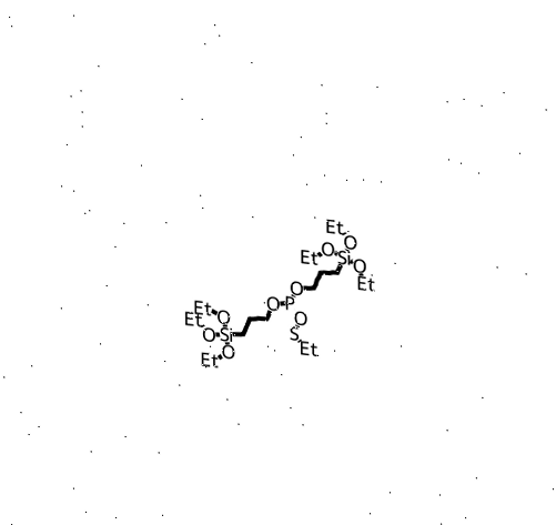 CCO[Si](CCCOP(OCCC[Si](OCC)(OCC)OCC)OSCC)(OCC)OCC